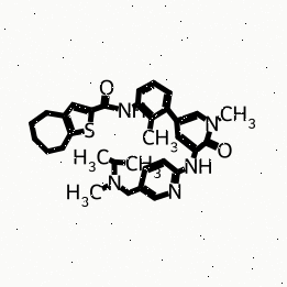 Cc1c(NC(=O)c2cc3c(s2)CCCCC3)cccc1-c1cc(Nc2ccc(CN(C)C(C)C)cn2)c(=O)n(C)c1